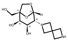 OC[C@@]12CO[C@@H](O1)[C@H](N1CC3(CNC3)C1)[C@@H](O)[C@H]2O